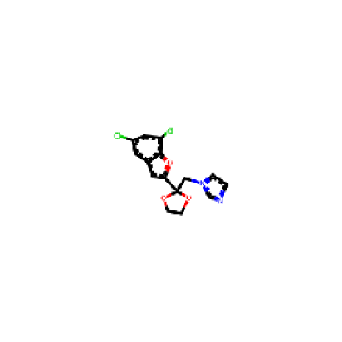 Clc1cc(Cl)c2oc(C3(Cn4ccnc4)OCCO3)cc2c1